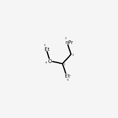 C[CH]C(CCCC)OCC